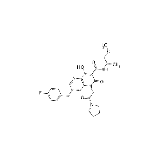 COCC(C)NC(=O)c1c(O)c2ncc(Cc3ccc(F)cc3)cc2n(CC(=O)N2CCCC2)c1=O